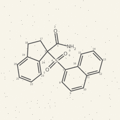 NC(=O)C1(S(=O)(=O)c2cccc3ccccc23)CCc2ccccc21